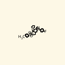 Cc1ccc(S(=O)(=O)N2CCC3=Cc4c(cnn4-c4ccc(F)cc4)CC3(CN3CCCC3)C2)cc1